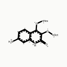 CCCCCCCCOc1c(OCCCCCC)c2ccc(N)cc2[nH]c1=O